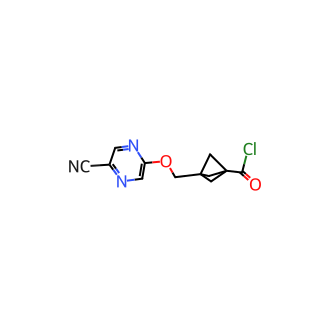 N#Cc1cnc(OCC23CC(C(=O)Cl)(C2)C3)cn1